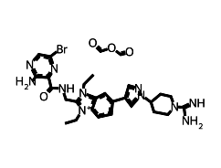 CCn1c(CNC(=O)c2nc(Br)cnc2N)[n+](CC)c2ccc(-c3cnn(C4CCN(C(=N)N)CC4)c3)cc21.O=COC=O